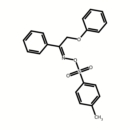 Cc1ccc(S(=O)(=O)O/N=C(\COc2ccccc2)c2ccccc2)cc1